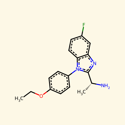 CCOc1ccc(-n2c([C@@H](C)N)nc3cc(F)ccc32)cc1